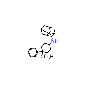 O=C(O)C1(c2ccccc2)CCC(NC2C3CC4CC(C3)CC2C4)CC1